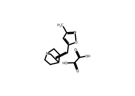 Cc1cc(/C=C2\CN3CCC2CC3)on1.O=C(O)C(=O)O